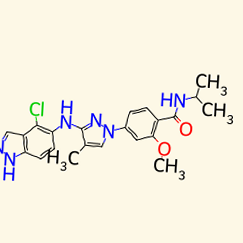 COc1cc(-n2cc(C)c(Nc3ccc4[nH]ncc4c3Cl)n2)ccc1C(=O)NC(C)C